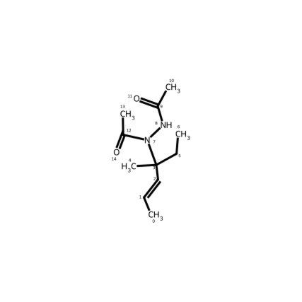 C/C=C/C(C)(CC)N(NC(C)=O)C(C)=O